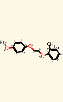 CCOc1ccc(OCCOc2ccccc2C)cc1